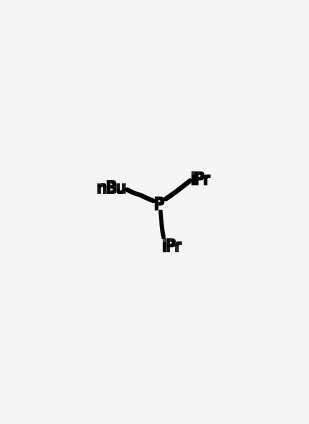 CCCCP(C(C)C)C(C)C